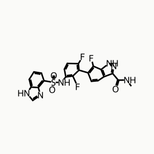 CNC(=O)c1n[nH]c2c(F)c(-c3c(F)ccc(NS(=O)(=O)c4cccc5[nH]cnc45)c3F)ccc12